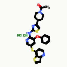 CC(=O)N1CCC(c2csc(Nc3ncc(Sc4ccnc5ccsc45)cc3Oc3ccccc3)n2)CC1.Cl.Cl